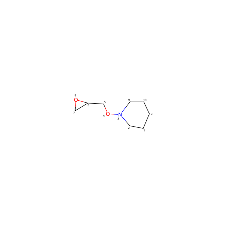 C1CCN(OCC2CO2)CC1